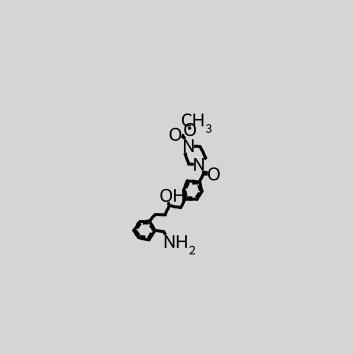 COC(=O)N1CCN(C(=O)c2ccc(CC(O)CCc3ccccc3CN)cc2)CC1